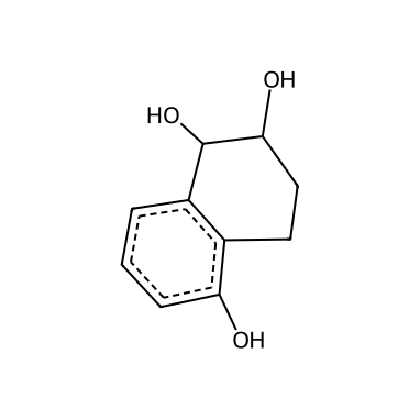 Oc1cccc2c1CCC(O)C2O